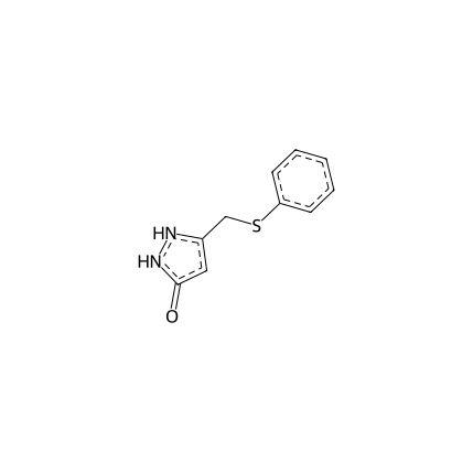 O=c1cc(CSc2ccccc2)[nH][nH]1